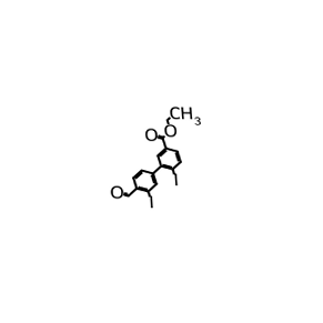 CCOC(=O)c1ccc(I)c(-c2ccc(C=O)c(I)c2)c1